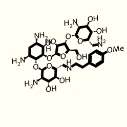 COc1ccc(CCNC[C@H]2O[C@H](O[C@H]3[C@H](O[C@@H]4O[C@H](CO)[C@@H](O[C@H]5O[C@@H](CN)[C@@H](O)[C@H](O)[C@H]5N)[C@H]4O)[C@@H](O)[C@H](N)C[C@@H]3N)[C@H](N)[C@@H](O)[C@@H]2O)cc1